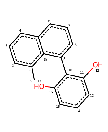 Cc1cccc2cccc(-c3c(O)cccc3O)c12